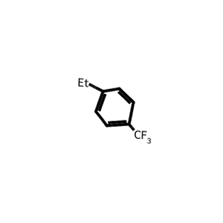 [CH2]Cc1ccc(C(F)(F)F)cc1